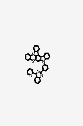 C1=CC2N=C(c3cccc(-n4c5ccccc5c5c6c7ccccc7n7c6c(cc54)Sc4ccccc4-7)c3)N=C(c3ccccn3)C2C=C1